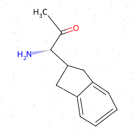 CC(=O)[C@@H](N)C1Cc2ccccc2C1